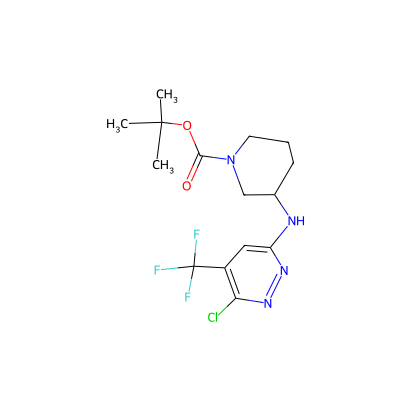 CC(C)(C)OC(=O)N1CCCC(Nc2cc(C(F)(F)F)c(Cl)nn2)C1